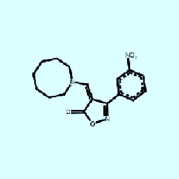 O=C1ON=C(c2cccc([N+](=O)[O-])c2)C1=CN1CCCCCCC1